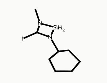 CN1[SiH2]N(C2CCCCC2)C1I